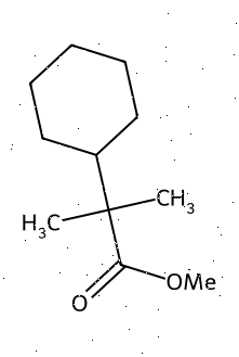 COC(=O)C(C)(C)C1CCCCC1